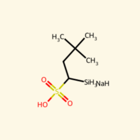 CC(C)(C)CC([SiH3])S(=O)(=O)O.[NaH]